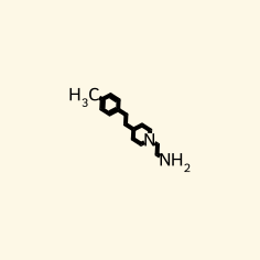 Cc1ccc(CCC2CCN(CCN)CC2)cc1